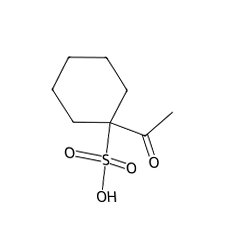 CC(=O)C1(S(=O)(=O)O)CCCCC1